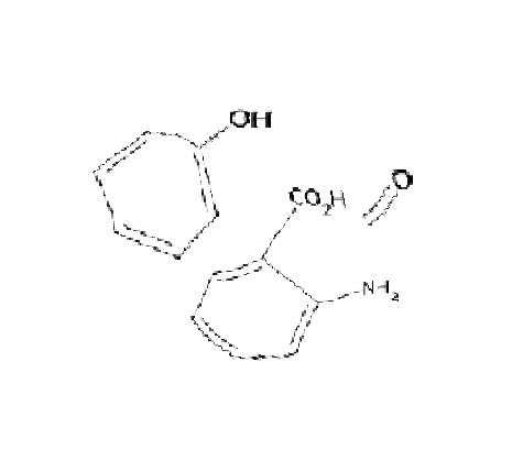 C=O.Nc1ccccc1C(=O)O.Oc1ccccc1